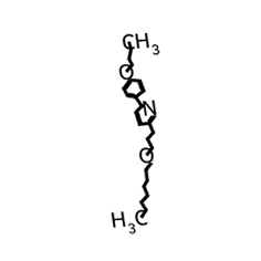 CCCCCCCCOCCCc1ccc(-c2ccc(OCCCC)cc2)nc1